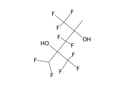 CC(O)(C(F)(F)F)C(F)(F)C(O)(C(F)F)C(F)(F)F